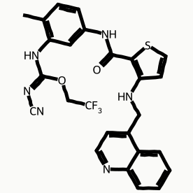 Cc1ccc(NC(=O)c2sccc2NCc2ccnc3ccccc23)cc1N/C(=N/C#N)OCC(F)(F)F